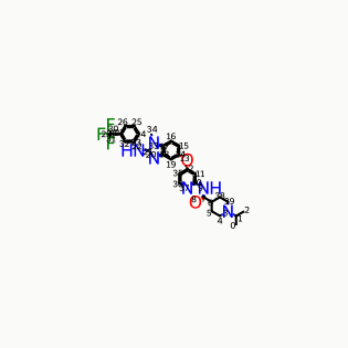 CC(C)N1CCC(C(=O)Nc2cc(Oc3ccc4c(c3)nc(Nc3cccc(C(F)(F)F)c3)n4C)ccn2)CC1